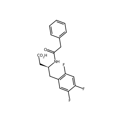 O=C(O)C[C@H](Cc1cc(F)c(F)cc1F)NC(=O)Cc1ccccc1